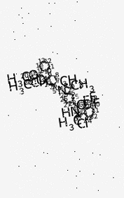 Cc1c(C)n(Cc2ccc(-c3ccccc3C(=O)OC(C)(C)C)cc2)c2ccc(C(=O)NC(C)c3cc(C(F)(F)F)ccc3Cl)cc12